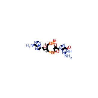 Nc1nc2c(ncn2[C@@H]2OC3C[C@H]2O[PH](=O)OC[C@H]2O[C@@H](c4cnc5c(N)ncnn45)C[C@@H]2CPO3)c(=O)[nH]1